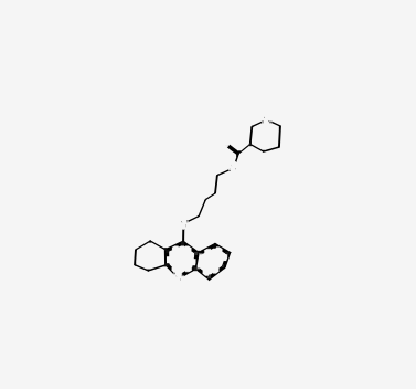 O=C(NCCCCNc1c2c(nc3ccccc13)CCCC2)C1CCCNC1